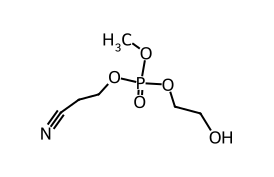 COP(=O)(OCCO)OCCC#N